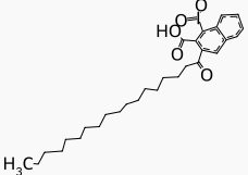 CCCCCCCCCCCCCCCCCC(=O)c1cc2ccccc2c(I(=O)=O)c1C(=O)O